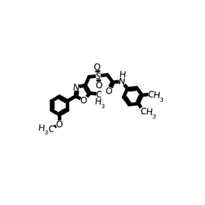 COc1cccc(-c2nc(CS(=O)(=O)CC(=O)Nc3ccc(C)c(C)c3)c(C)o2)c1